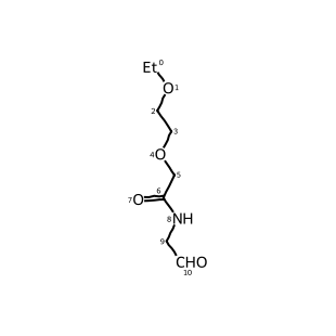 CCOCCOCC(=O)NCC=O